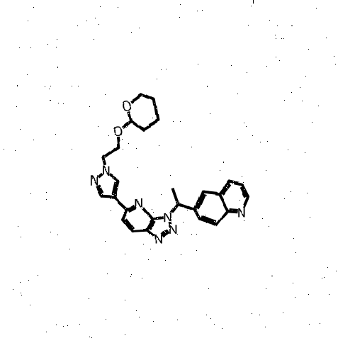 CC(c1ccc2ncccc2c1)n1nnc2ccc(-c3cnn(CCOC4CCCCO4)c3)nc21